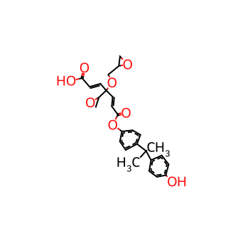 CC(C)(c1ccc(O)cc1)c1ccc(OC(=O)C=CC(C=CC(=O)O)(OCC2CO2)C2CO2)cc1